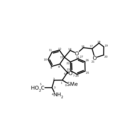 CSC(CC(N)C(=O)O)C(=O)C1C=CC=CC1(COCC1CCCO1)c1ccccc1